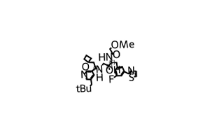 COCC(=O)N[C@@H](Cc1cc(F)cc(-c2nccs2)c1)[C@@H](O)CN[C@H]1CC2(CCC2)Oc2ncc(CC(C)(C)C)cc21